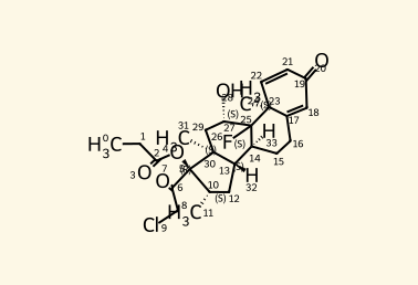 CCC(=O)O[C@]1(C(=O)CCl)[C@@H](C)C[C@H]2[C@@H]3CCC4=CC(=O)C=C[C@]4(C)C3(F)[C@@H](O)C[C@@]21C